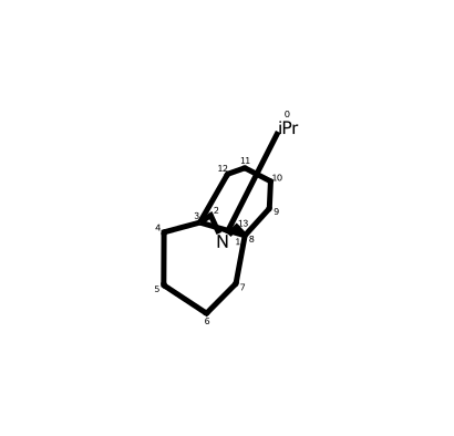 CC(C)N1CC23CCCCC2(CCCC3)C1